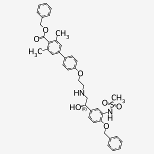 Cc1cc(-c2ccc(OCCNC[C@H](O)c3ccc(OCc4ccccc4)c(NS(C)(=O)=O)c3)cc2)cc(C)c1C(=O)OCc1ccccc1